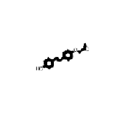 Oc1ccc(C=Cc2ccc(OCC3CO3)cc2)cc1